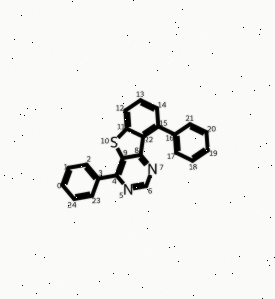 c1ccc(-c2ncnc3c2sc2cccc(-c4ccccc4)c23)cc1